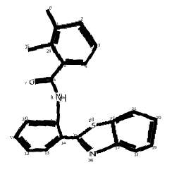 Cc1cccc(C(=O)Nc2ccccc2-c2nc3ccccc3s2)c1C